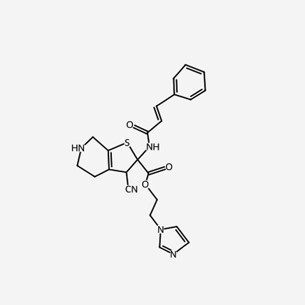 N#CC1C2=C(CNCC2)SC1(NC(=O)C=Cc1ccccc1)C(=O)OCCn1ccnc1